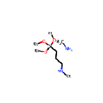 CCNCCC[Si](OCC)(OCC)OCC.CN